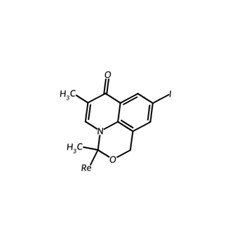 Cc1cn2c3c(cc(I)cc3c1=O)CO[C]2(C)[Re]